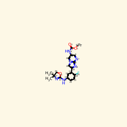 CC(C)OC(=O)Nc1cnc2nc(-c3cc(NC4=NC(C)(C)CO4)ccc3F)cn2c1